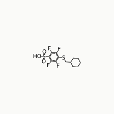 O=S(=O)(O)c1c(F)c(F)c(SCC2CCCCC2)c(F)c1F